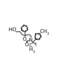 Cc1ccc([C@](C)(I)N2CCC(CCCO)(c3ccccc3)OC2=O)cc1